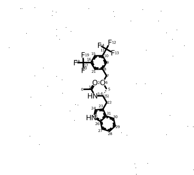 CC(=O)N[C@H](COCc1cc(C(F)(F)F)cc(C(F)(F)F)c1)Cc1c[nH]c2ccccc12